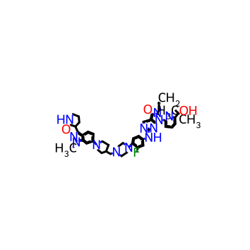 C=CCn1c(=O)c2cnc(Nc3ccc(N4CCN(CC5CCN(c6ccc7c(C8CCCNC8=O)nn(C)c7c6)CC5)CC4)c(F)c3)nc2n1-c1cccc(C(C)(C)O)n1